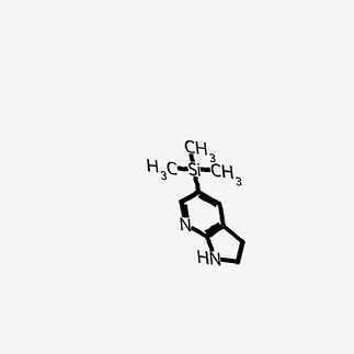 C[Si](C)(C)c1cnc2c(c1)CCN2